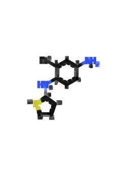 CCc1cc(N)ccc1Nc1cccs1